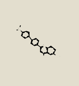 CN(C)c1ccc(-c2ccc(-c3cc(C(=O)O)c4cc(C(F)(F)F)ccc4n3)cc2)cc1